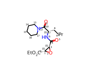 CCOC(=O)[C@H]1O[C@@H]1C(=O)N[C@@H](CC(C)C)C(=O)N1CCCCC1